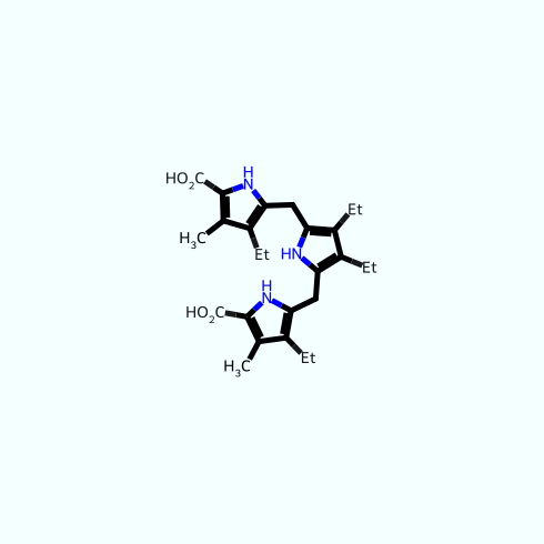 CCc1c(Cc2[nH]c(Cc3[nH]c(C(=O)O)c(C)c3CC)c(CC)c2CC)[nH]c(C(=O)O)c1C